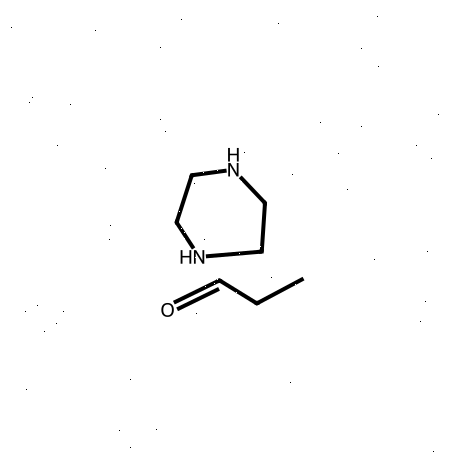 C1CNCCN1.CCC=O